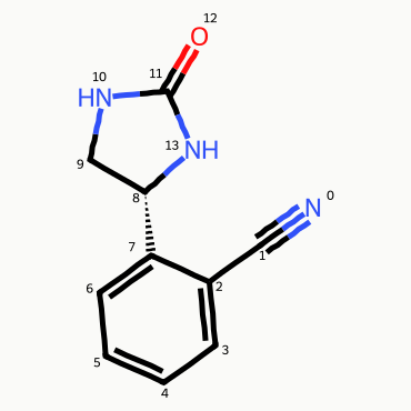 N#Cc1ccccc1[C@@H]1CNC(=O)N1